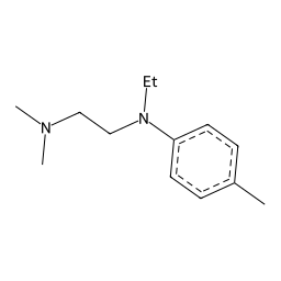 CCN(CCN(C)C)c1ccc(C)cc1